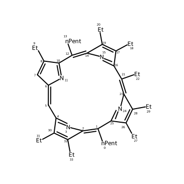 CCCCCC1=C2N=C(C=C3C=C(CC)C(=N3)C(CCCCC)=C3N=C(C(CC)=C3CC)C(CC)=C3N=C1C(CC)=C3CC)C(CC)=C2CC